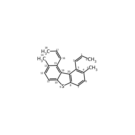 C/C=C\c1c(C)ccc2sc3ccc(C)c(/C=C\C)c3c12